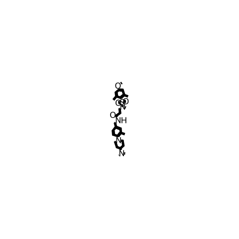 COc1cc(C)c(S(=O)(=O)N(C)CCC(=O)NCc2ccc(N3CCC(N(C)C)CC3)c(C)c2)c(C)c1